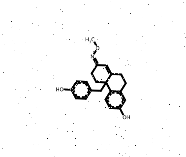 CON=C1C=C2CCc3cc(O)ccc3C2(Cc2ccc(O)cc2)CC1